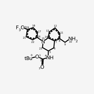 CC(C)(C)OC(=O)NC1Cc2c(CN)cccc2N(c2ccc(C(F)(F)F)cc2)C1